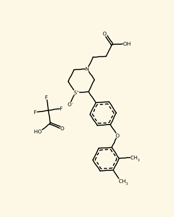 Cc1cccc(Oc2ccc(C3CN(CCC(=O)O)CC[S+]3[O-])cc2)c1C.O=C(O)C(F)(F)F